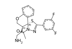 CC(=O)N1N=C(c2cc(F)cc(F)c2)S[C@]12c1ccccc1OC[C@@H]2CCN